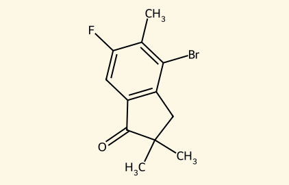 Cc1c(F)cc2c(c1Br)CC(C)(C)C2=O